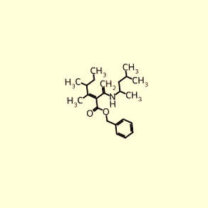 C=C(NC(C)CC(C)C)/C(C(=O)OCc1ccccc1)=C(/C)C(C)CC